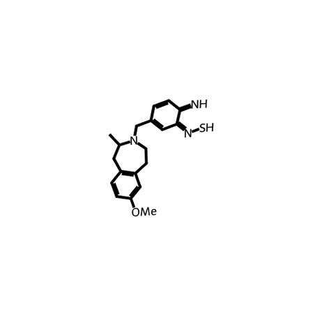 COc1ccc2c(c1)CCN(CC1=C/C(=N/S)C(=N)C=C1)C(C)C2